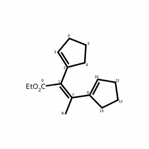 CCOC(=O)C(C1=CCCC1)=C(C)C1=CCCC1